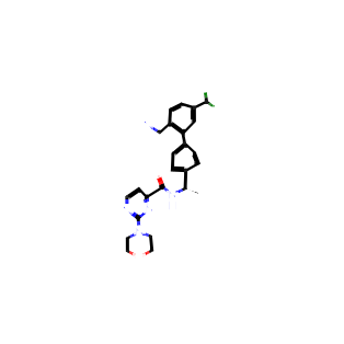 C[C@@H](NC(=O)c1ccnc(N2CCOCC2)n1)c1ccc(-c2cc(C(F)F)ccc2CN)cc1